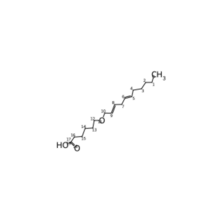 CCCCCC=CCC=CCOCCCCCC(=O)O